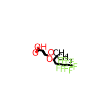 CC(C)C(CC(F)(F)C(F)(F)C(F)(F)C(F)(F)F)OC(=O)/C=C/C(=O)O